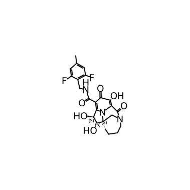 Cc1cc(F)c(CNC(=O)c2c3n4c(c(O)c2=O)C(=O)N2CCCC[C@]4(C2)[C@H](O)[C@H]3O)c(F)c1